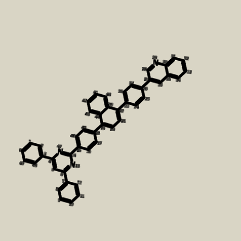 c1ccc(-c2cc(-c3ccccc3)nc(-c3ccc(-c4ccc(-c5ccc(-c6cnc7ccccc7c6)cc5)c5ccccc45)cc3)n2)cc1